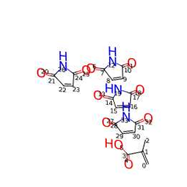 C=C(C)C(=O)O.O=C1C=CC(=O)N1.O=C1C=CC(=O)N1.O=C1C=CC(=O)N1.O=C1C=CC(=O)N1